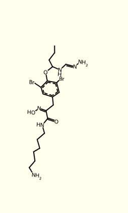 CCCC(NC=NN)Oc1c(Br)cc(CC(=NO)C(=O)NCCCCCCN)cc1Br